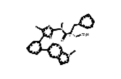 CN(C(=O)[C@@H](CC(=O)O)Cc1ccccc1)c1nc(-c2ccccc2-c2cnc3c(ccn3C)c2)c(F)s1